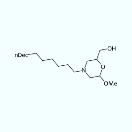 CCCCCCCCCCCCCCCCN1CC(CO)OC(OC)C1